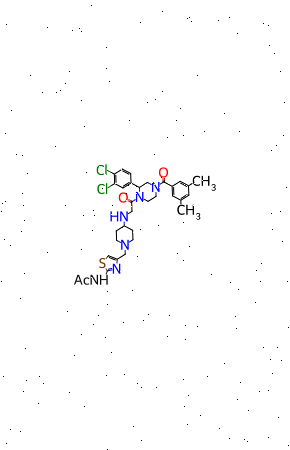 CC(=O)Nc1nc(CN2CCC(NCC(=O)N3CCN(C(=O)c4cc(C)cc(C)c4)CC3c3ccc(Cl)c(Cl)c3)CC2)cs1